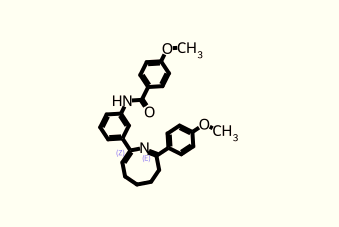 COc1ccc(C(=O)Nc2cccc(C3=C/CCCC/C(c4ccc(OC)cc4)=N\3)c2)cc1